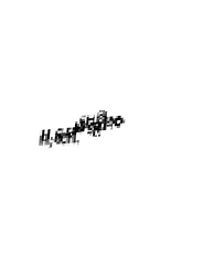 Cc1nn(COCC[Si](C)(C)C)cc1-c1cc2c3c([nH]c(=O)c2s1)C(OCc1ccccc1)COC3